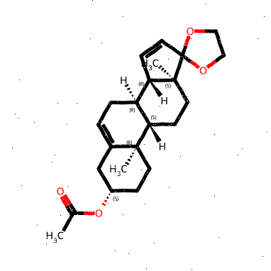 CC(=O)O[C@H]1CC[C@@]2(C)C(=CC[C@@H]3[C@@H]2CC[C@@]2(C)[C@H]3C=CC23OCCO3)C1